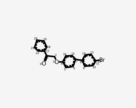 O=C(COc1ccc(-c2ccc(Br)cc2)cc1)c1ccccc1